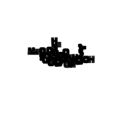 CO[C@@H]1[C@H](OC(N)=O)C(O)[C@H](Oc2ccc3c(O)c(NC(=O)c4ccc(O)c(CC=C(C)C)c4)c(=O)oc3c2)OC1(C)C